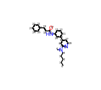 CCCCCN(C)c1cc(-c2cccc(NC(=O)C=Cc3ccccc3)c2)ccn1